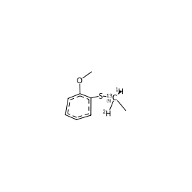 [1H][13C@]([2H])(C)Sc1ccccc1OC